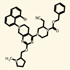 CN1CCCC1COc1nc2c(c(N3CCN(C(=O)OCc4ccccc4)C(CC#N)C3)n1)CCN(c1cccc3cccc(Br)c13)C2